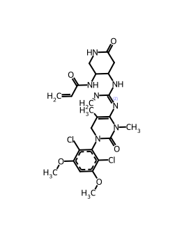 C=CC(=O)NC1CNC(=O)CC1N/C(N=C)=N/C1=C(C)CN(c2c(Cl)c(OC)cc(OC)c2Cl)C(=O)N1C